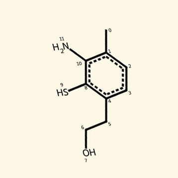 Cc1ccc(CCO)c(S)c1N